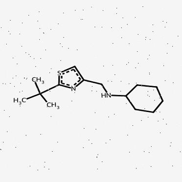 CC(C)(C)c1nc(CNC2CCCCC2)cs1